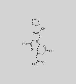 C1CCOC1.O=C(O)CN(CCN(CC(=O)O)CC(=O)O)CC(=O)O